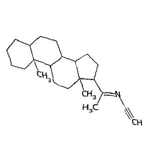 C#C/N=C(\C)C1CCC2C3CCC4CCCCC4(C)C3CCC12C